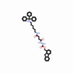 O=C(CCC(=O)NNC(=O)OCc1cccc2c1Cc1ccccc1-2)NCCCCCCNC(c1ccccc1)(c1ccccc1)c1ccccc1